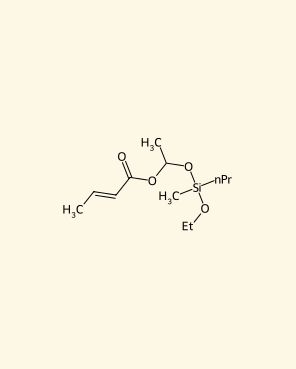 CC=CC(=O)OC(C)O[Si](C)(CCC)OCC